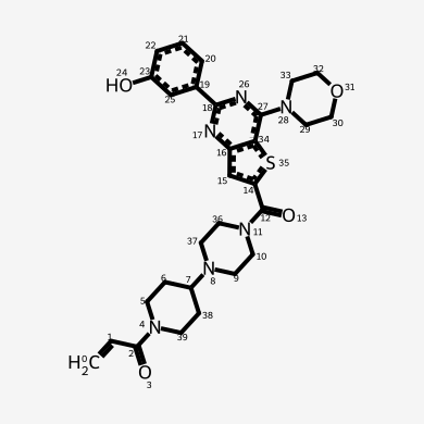 C=CC(=O)N1CCC(N2CCN(C(=O)c3cc4nc(-c5cccc(O)c5)nc(N5CCOCC5)c4s3)CC2)CC1